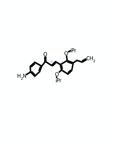 C=CCc1ccc(OC(C)C)c(/C=C/C(=O)c2ccc(N)cc2)c1OC(C)C